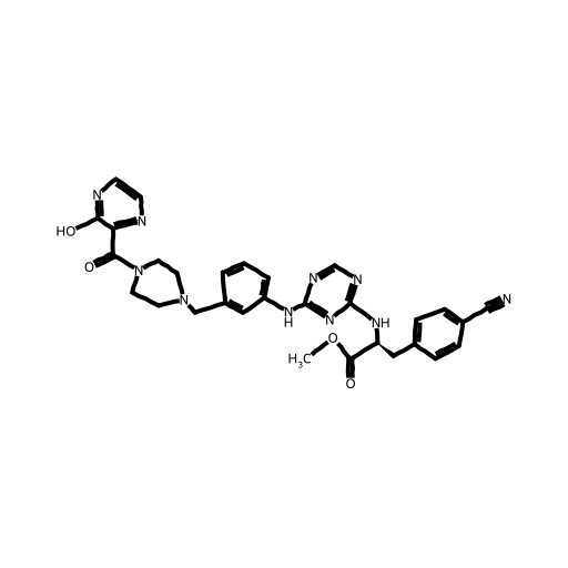 COC(=O)[C@H](Cc1ccc(C#N)cc1)Nc1ncnc(Nc2cccc(CN3CCN(C(=O)c4nccnc4O)CC3)c2)n1